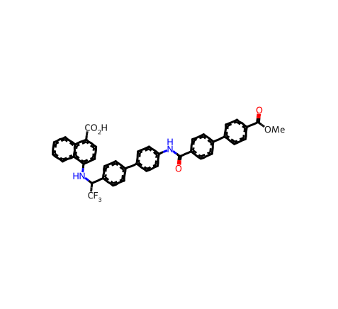 COC(=O)c1ccc(-c2ccc(C(=O)Nc3ccc(-c4ccc(C(Nc5ccc(C(=O)O)c6ccccc56)C(F)(F)F)cc4)cc3)cc2)cc1